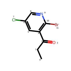 CCC(=O)c1cc(Cl)cnc1Br